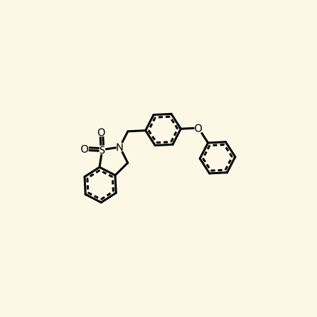 O=S1(=O)c2ccccc2CN1Cc1ccc(Oc2ccccc2)cc1